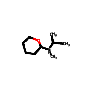 CC(C)[SiH](C)C1CCCCO1